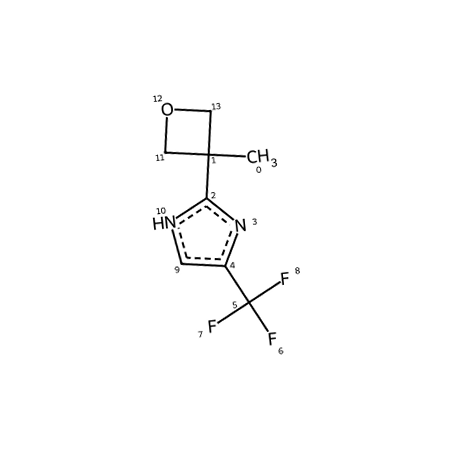 CC1(c2nc(C(F)(F)F)c[nH]2)COC1